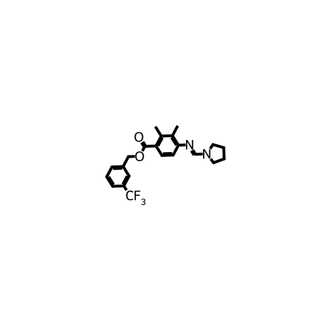 Cc1c(/N=C/N2CCCC2)ccc(C(=O)OCc2cccc(C(F)(F)F)c2)c1C